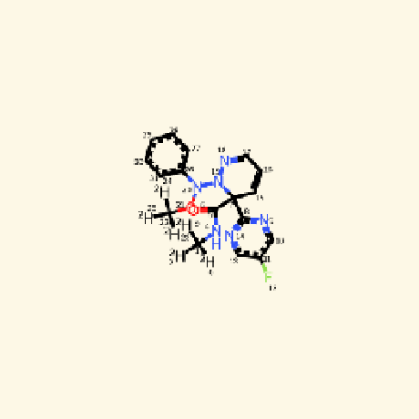 [2H]C([2H])([2H])NC(=O)C1(c2ncc(F)cn2)C=CC=NN1N(OC([2H])([2H])[2H])c1ccccc1